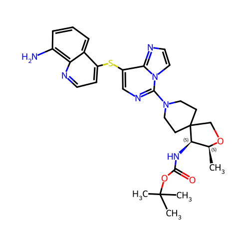 C[C@@H]1OCC2(CCN(c3ncc(Sc4ccnc5c(N)cccc45)c4nccn34)CC2)[C@@H]1NC(=O)OC(C)(C)C